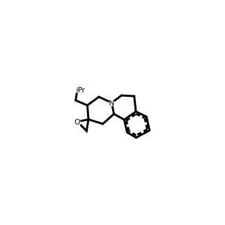 CC(C)CC1CN2CCc3ccccc3C2CC12CO2